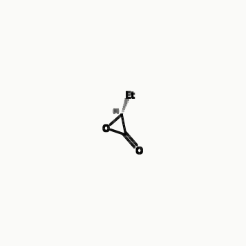 CC[C@H]1OC1=O